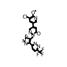 COc1ncc(-c2cnn(Cc3c(-c4ccc(C(F)(F)F)nn4)nnn3C)c(=O)c2)cc1Cl